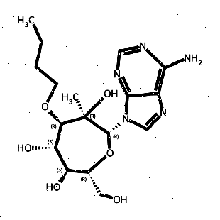 CCCCO[C@@H]1[C@@H](O)[C@H](O)[C@@H](CO)O[C@@H](n2cnc3c(N)ncnc32)[C@]1(C)O